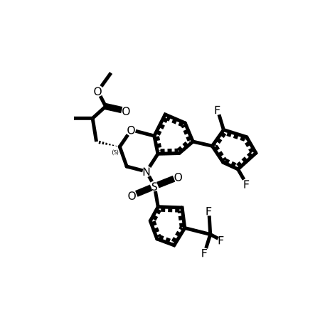 COC(=O)C(C)C[C@H]1CN(S(=O)(=O)c2cccc(C(F)(F)F)c2)c2cc(-c3cc(F)ccc3F)ccc2O1